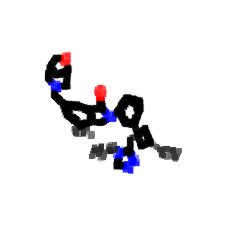 Cn1cnnc1C[C@]1(c2cccc(N3Cc4c(cc(CN5CC6COC(C6)C5)cc4C(F)(F)F)C3=O)c2)C[C@H](C#N)C1